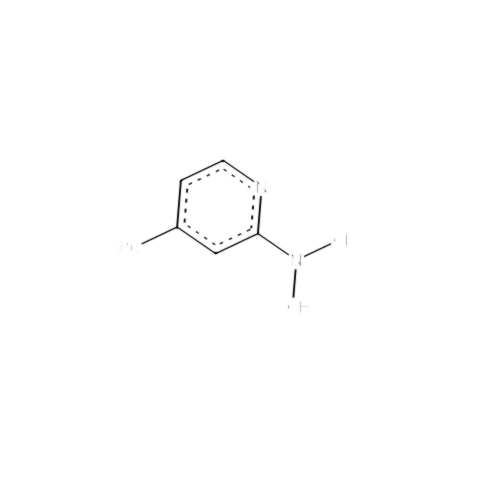 CCC(C)c1ccnc(N(C)C)c1